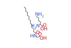 CCCCCCCCCCCCCC(=O)N[C@@H](C)C(=O)O.NCCCC[C@H](N)C(=O)O